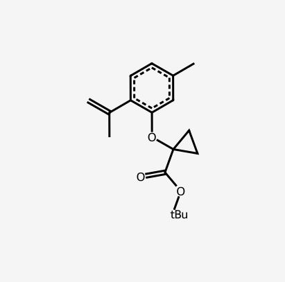 C=C(C)c1ccc(C)cc1OC1(C(=O)OC(C)(C)C)CC1